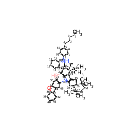 CCCCCc1ccc(Nc2ccccc2-c2cc(C(C)(C)C)c3c4cc5c(cc4n4c3c2Bc2cc3oc6ccccc6c3cc2-4)C(C)(C)CCC5(C)C)cc1